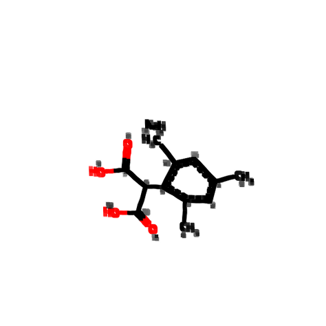 Cc1cc(C)c(C(C(=O)O)C(=O)O)c(C)c1.[NaH]